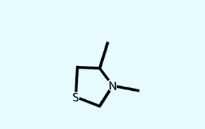 CC1CSCN1C